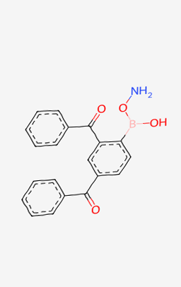 NOB(O)c1ccc(C(=O)c2ccccc2)cc1C(=O)c1ccccc1